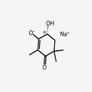 CC1=C([O-])[C@H](O)CC(C)(C)C1=O.[Na+]